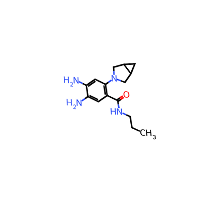 CCCNC(=O)c1cc(N)c(N)cc1N1CC2CC2C1